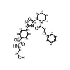 O=C(COc1ccccc1)N1CCCCC1c1nc(-c2ccc(S(=O)(=O)NCCO)cc2)no1